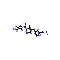 Cc1c(Cc2ccnc(N)c2F)cncc1NC1CC2(CNC2)C1